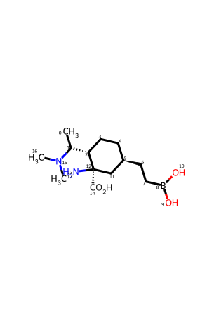 CC([C@@H]1CC[C@@H](CCB(O)O)C[C@]1(N)C(=O)O)N(C)C